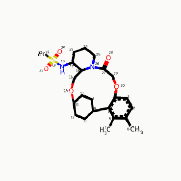 Cc1ccc2c(c1C)C1CCC(CC1)OCC1C(NS(=O)(=O)C(C)C)CCCN1C(=O)CO2